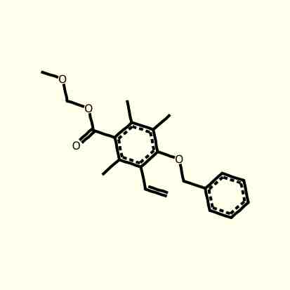 C=Cc1c(C)c(C(=O)OCOC)c(C)c(C)c1OCc1ccccc1